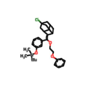 CC(C)(C)[Si](C)(C)Oc1cccc(C(OCCOc2ccccc2)=C2C3CC4CC2CC(Cl)(C4)C3)c1